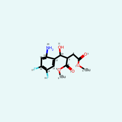 CC(C)(C)OC(=O)CC(C(=O)OC(C)(C)C)C(O)c1cc(F)c(F)cc1N